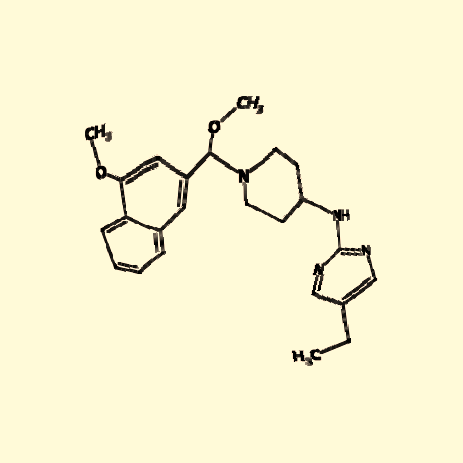 CCc1cnc(NC2CCN(C(OC)c3cc(OC)c4ccccc4c3)CC2)nc1